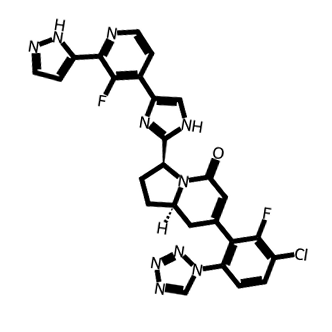 O=C1C=C(c2c(-n3cnnn3)ccc(Cl)c2F)C[C@H]2CC[C@@H](c3nc(-c4ccnc(-c5ccn[nH]5)c4F)c[nH]3)N12